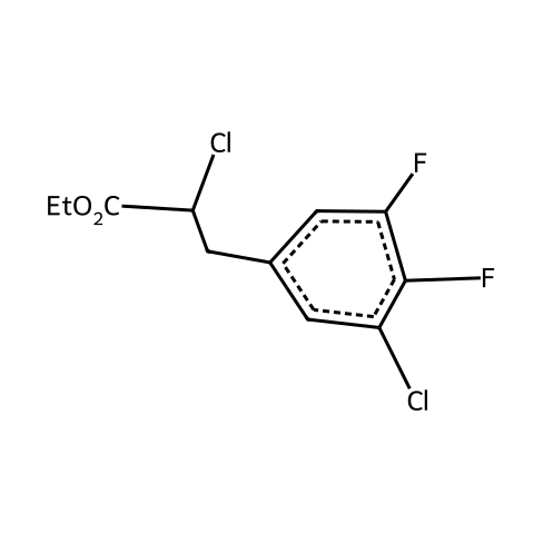 CCOC(=O)C(Cl)Cc1cc(F)c(F)c(Cl)c1